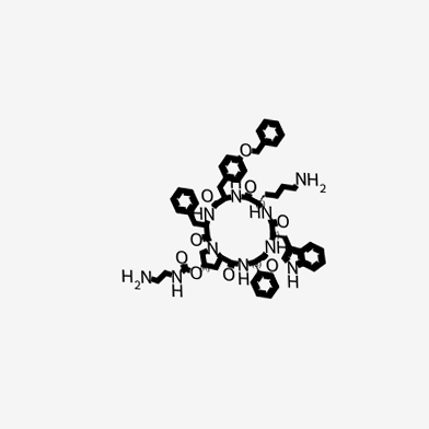 NCCCC[C@@H]1NC(=O)[C@@H](Cc2c[nH]c3ccccc23)NC(=O)[C@H](c2ccccc2)NC(=O)C2C[C@@H](OC(=O)NCCN)CN2C(=O)C(Cc2ccccc2)NC(=O)C(Cc2ccc(OCc3ccccc3)cc2)NC1=O